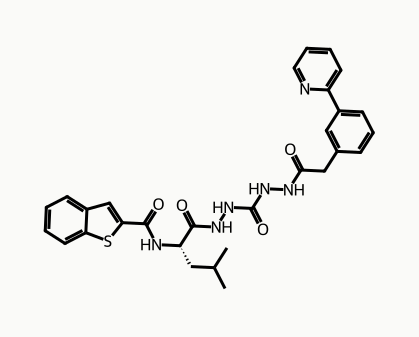 CC(C)C[C@H](NC(=O)c1cc2ccccc2s1)C(=O)NNC(=O)NNC(=O)Cc1cccc(-c2ccccn2)c1